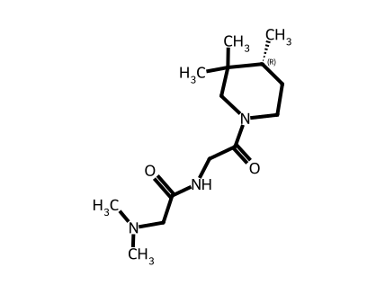 C[C@@H]1CCN(C(=O)CNC(=O)CN(C)C)CC1(C)C